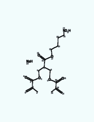 C=C(C)C(=O)OCC(COC(=O)C(=C)C)C(=O)OCCCCS(=O)(=O)O.[NaH]